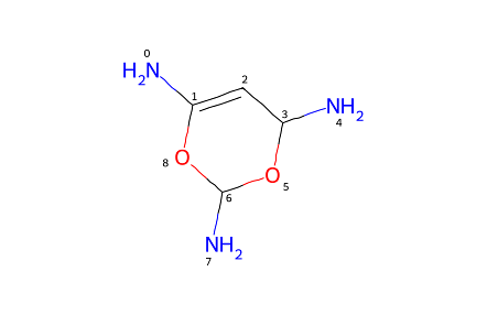 NC1=CC(N)OC(N)O1